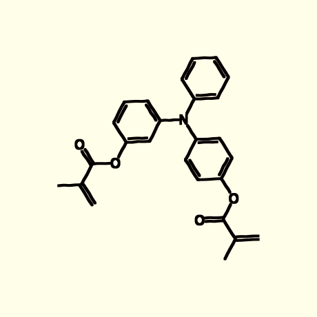 C=C(C)C(=O)Oc1ccc(N(c2ccccc2)c2cccc(OC(=O)C(=C)C)c2)cc1